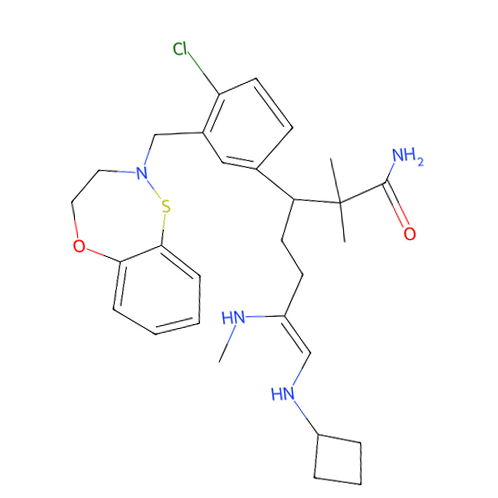 CN/C(=C\NC1CCC1)CCC(c1ccc(Cl)c(CN2CCOc3ccccc3S2)c1)C(C)(C)C(N)=O